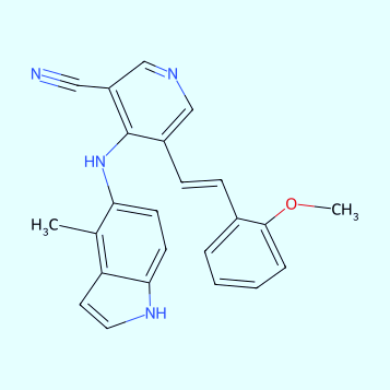 COc1ccccc1C=Cc1cncc(C#N)c1Nc1ccc2[nH]ccc2c1C